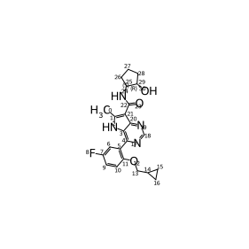 Cc1[nH]c2c(-c3cc(F)ccc3OCC3CC3)ncnc2c1C(=O)N[C@H]1CCC[C@H]1O